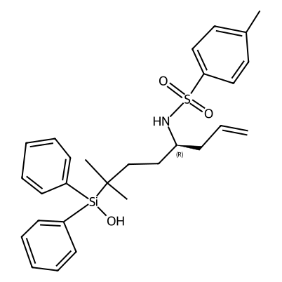 C=CC[C@@H](CCC(C)(C)[Si](O)(c1ccccc1)c1ccccc1)NS(=O)(=O)c1ccc(C)cc1